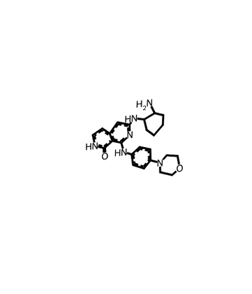 NC1CCCCC1Nc1cc2cc[nH]c(=O)c2c(Nc2ccc(N3CCOCC3)cc2)n1